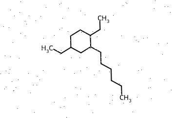 CCCCCC[C]1CC(CC)CCC1CC